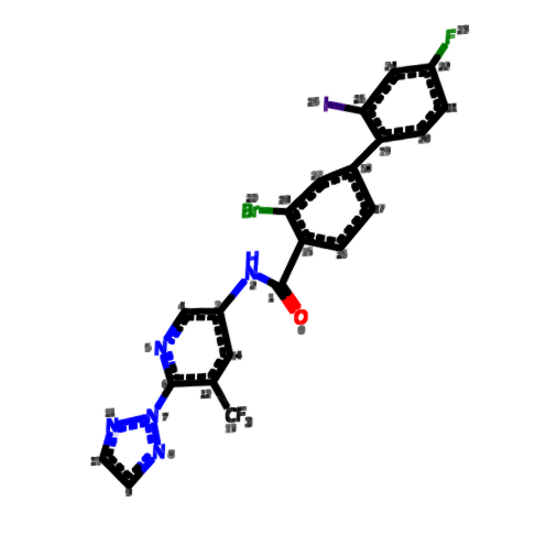 O=C(Nc1cnc(-n2nccn2)c(C(F)(F)F)c1)c1ccc(-c2ccc(F)cc2I)cc1Br